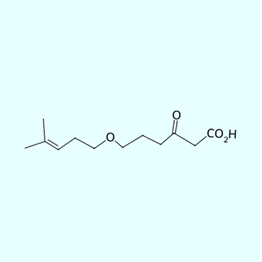 CC(C)=CCCOCCCC(=O)CC(=O)O